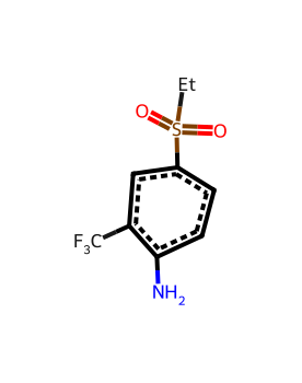 CCS(=O)(=O)c1ccc(N)c(C(F)(F)F)c1